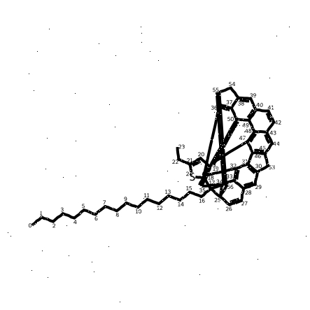 CCCCCCCCCCCCCCCCCC1(c2ccc(CC)s2)C23C=Cc4cc5c6c7c4C21c1c2c4c(cc8ccc9cc(c6c6c9c8c4c6c17)C5)CC2=C3